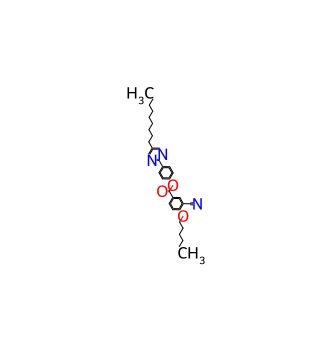 CCCCCCCCCc1cnc(-c2ccc(OC(=O)c3ccc(OCCCCCC)c(C#N)c3)cc2)nc1